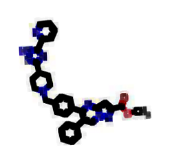 COC(=O)c1cc2nc(-c3ccc(CN4CCC(c5n[nH]c(-c6ccccn6)n5)CC4)cc3)c(-c3ccccc3)cn2n1